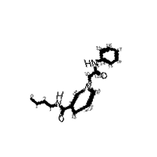 CCCCNC(=O)C1=CN(CC(=O)Nc2ccccc2)C=CC1